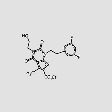 CCOC(=O)c1sc2c(c1C)c(=O)n(CCO)c(=O)n2CCc1cc(F)cc(F)c1